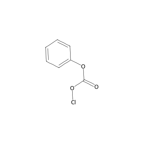 O=C(OCl)Oc1ccccc1